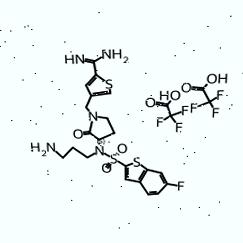 N=C(N)c1cc(CN2CC[C@H](N(CCCN)S(=O)(=O)c3cc4ccc(F)cc4s3)C2=O)cs1.O=C(O)C(F)(F)F.O=C(O)C(F)(F)F